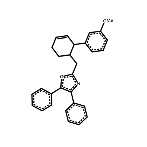 COc1cccc(C2C=CCCC2Cc2nc(-c3ccccc3)c(-c3ccccc3)o2)c1